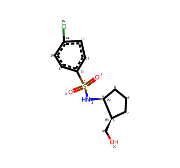 O=S(=O)(N[C@H]1CCC[C@H]1CO)c1ccc(Cl)cc1